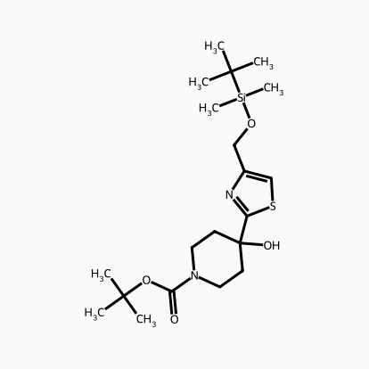 CC(C)(C)OC(=O)N1CCC(O)(c2nc(CO[Si](C)(C)C(C)(C)C)cs2)CC1